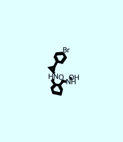 O=C(NO)c1ccccc1CNC1CC1c1ccc(Br)cc1